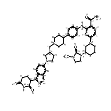 CN1CCN([C@@H]2CCCN(c3cnc(C(N)=O)c(Nc4ccc(C5CCN(C[C@H]6CCN(c7ccc8c(C9CCC(=O)NC9=O)noc8c7)C6)CC5)cc4)n3)C2)C1=O